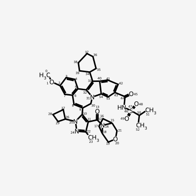 COc1ccc2c(c1)C=C(c1c(C(=O)N3C4CCC3COC4)c(C)nn1C1CCC1)Cn1c-2c(C2CCCCC2)c2ccc(C(=O)NS(=O)(=O)C(C)C)cc21